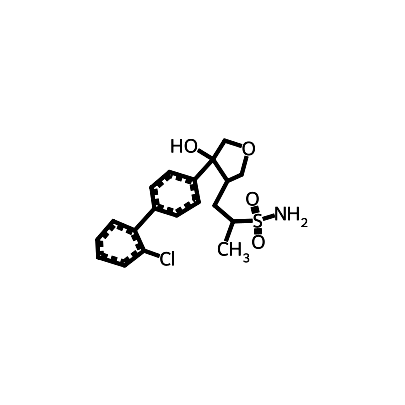 CC(CC1COCC1(O)c1ccc(-c2ccccc2Cl)cc1)S(N)(=O)=O